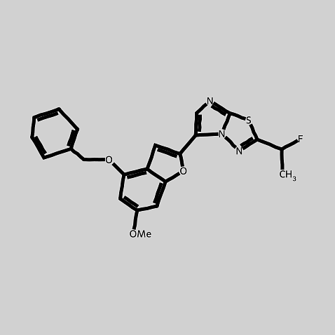 COc1cc(OCc2ccccc2)c2cc(-c3cnc4sc(C(C)F)nn34)oc2c1